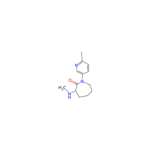 CNC1CCCCN(c2ccc(I)nc2)C1=O